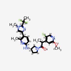 COc1cc(C(C)C(=O)N2CC[C@H](Nc3ccc(-c4cn(C)c(C(C)(F)F)n4)c(C)n3)C2)c(F)cn1